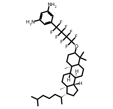 CC(C)CCCC(C)[C@H]1CC[C@H]2[C@@H]3CCC4C(C)(C)C(OC(F)(F)C(F)(F)C(F)(F)C(F)(F)c5cc(N)cc(N)c5)CC[C@]4(C)[C@H]3CC[C@]12C